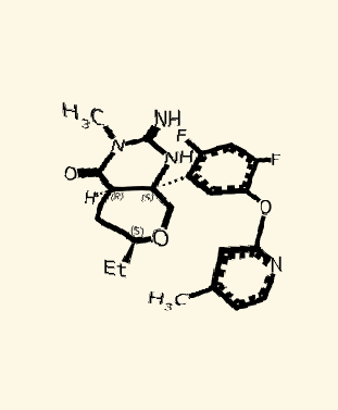 CC[C@H]1C[C@H]2C(=O)N(C)C(=N)N[C@@]2(c2cc(Oc3cc(C)ccn3)c(F)cc2F)CO1